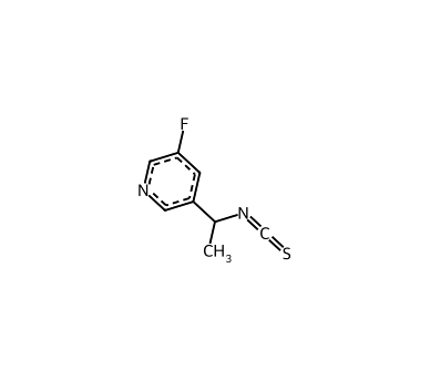 CC(N=C=S)c1cncc(F)c1